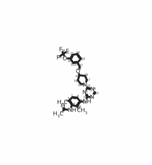 CC(=O)Nc1c(C)ccc(Nc2ncnc(N3CCC(OCc4cccc(OC(F)(F)F)c4)CC3)n2)c1C